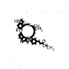 CCOC(=O)CCc1cccc(C2CCCC(C)(C)CSCCc3c(c(F)cc4[nH]ccc34)Oc3ccc(F)c(c3)-c3c(C#N)cnn32)c1